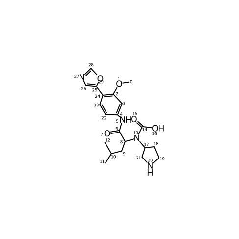 COc1cc(NC(=O)C(CC(C)C)N(C(=O)O)C2CCNC2)ccc1-c1cnco1